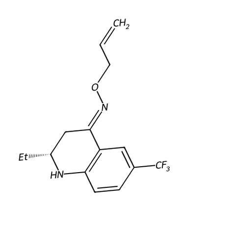 C=CCON=C1C[C@@H](CC)Nc2ccc(C(F)(F)F)cc21